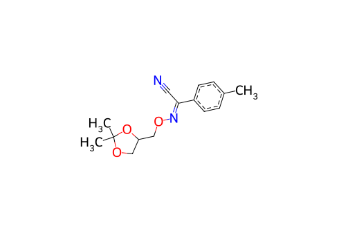 Cc1ccc(C(C#N)=NOCC2COC(C)(C)O2)cc1